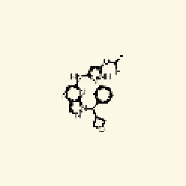 FC(F)Oc1cc(Nc2cnc3cnn([C@@H](c4ccccc4)C4COC4)c3n2)n[nH]1